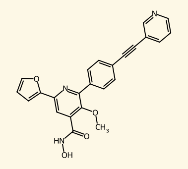 COc1c(C(=O)NO)cc(-c2ccco2)nc1-c1ccc(C#Cc2cccnc2)cc1